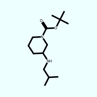 CC(C)CNC1CCCN(C(=O)OC(C)(C)C)C1